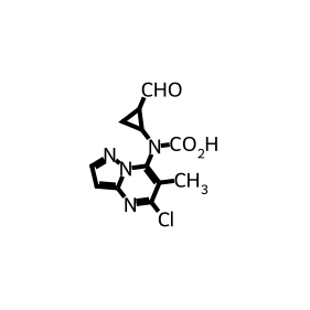 Cc1c(Cl)nc2ccnn2c1N(C(=O)O)C1CC1C=O